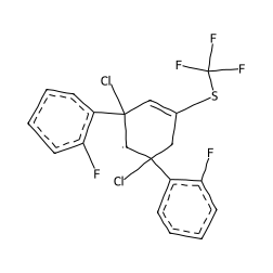 Fc1ccccc1C1(Cl)[CH]C(Cl)(c2ccccc2F)CC(SC(F)(F)F)=C1